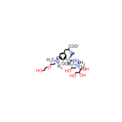 CC1CN1[C@@H](Cc1ccccc1)C(=O)[O-].C[N+](C)(C)CCO.C[N+](C)(C)CCOCCO.NCC(=O)[O-].OCC(O)CO